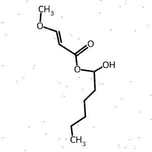 CCCCCC(O)OC(=O)C=COC